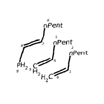 C=CCCCCC.C=CCCCCC.CCCCCC=CP